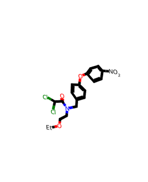 CCOCCN(Cc1ccc(Oc2ccc([N+](=O)[O-])cc2)cc1)C(=O)C(Cl)Cl